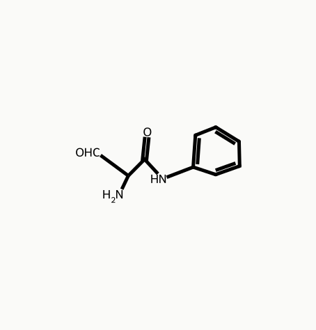 NC(C=O)C(=O)Nc1ccccc1